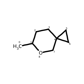 CC1CCC2(CC2)CO1